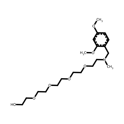 COc1ccc(CN(C)CCOCCOCCOCCOCCO)c(OC)c1